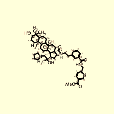 COC(=O)c1ccc(CNC(=O)c2cccc(CCNC(=O)[C@]34CC[C@@H](C(C)(O)CN5CCCC5)C3C3CCC5[C@@]6(C)CC[C@H](O)C(C)(C)C6CC[C@@]5(C)[C@]3(C)CC4)c2)nc1